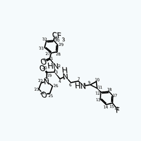 O=C(N[C@@H](CNCCNC1C[C@H]1c1ccc(F)cc1)C(=O)N1CCOCC1)c1ccc(C(F)(F)F)cc1